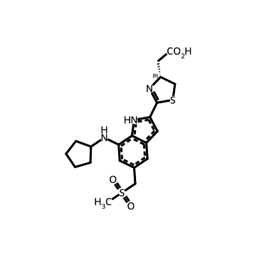 CS(=O)(=O)Cc1cc(NC2CCCC2)c2[nH]c(C3=N[C@H](CC(=O)O)CS3)cc2c1